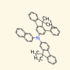 CC1(C)c2ccccc2-c2ccc(N(c3cc(-c4ccccc4)c4c(c3)-c3ccccc3C4(C)C)c3ccc4ccccc4c3)cc21